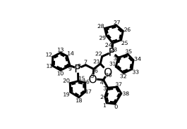 c1ccc(C2OC(CP(c3ccccc3)c3ccccc3)C(CP(c3ccccc3)c3ccccc3)O2)cc1